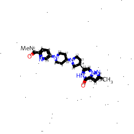 CNC(=O)c1ccc(N2CCC(N3CC[C@@H](c4cn5nc(C)cc5c(=O)[nH]4)C3)CC2)cn1